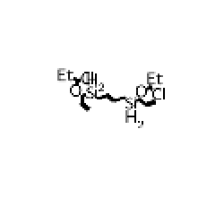 C=CC(OC(Cl)CC)[SiH2]CC=CC[SiH2]C(C=C)OC(Cl)CC